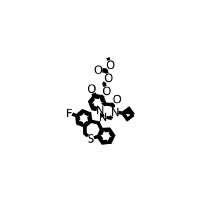 COC(=O)OCOc1c2n(ccc1=O)N([C@H]1c3ccc(F)cc3CSc3ccccc31)CN(C13CC(C1)C3)C2=O